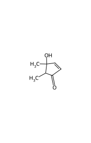 CC1C(=O)C=CC1(C)O